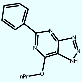 CCCOc1nc(-c2ccccc2)nc2nn[nH]c12